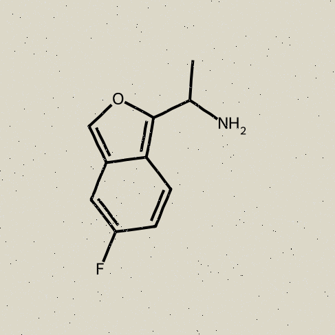 CC(N)c1occ2cc(F)ccc12